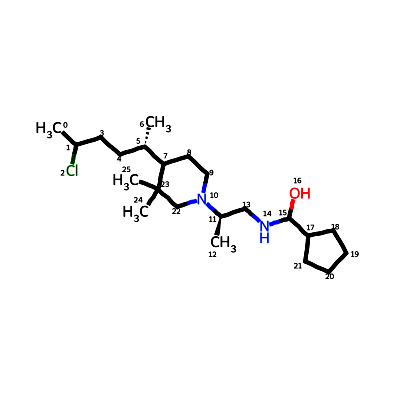 CC(Cl)CC[C@H](C)C1CCN([C@H](C)CNC(O)C2CCCC2)CC1(C)C